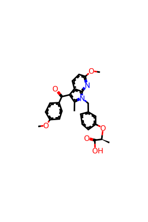 COc1ccc(C(=O)c2c(C)n(Cc3cccc(O[C@@H](C)C(=O)O)c3)c3nc(OC)ccc23)cc1